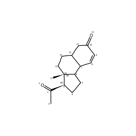 CC(=O)[C@@H]1CCC2C3C=CC(=O)CC3CC[C@]21C